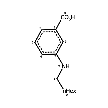 CCCCCCCNc1cccc(C(=O)O)c1